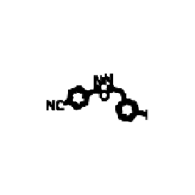 N#Cc1ccc(-c2nnc(Cc3cccc(I)c3)o2)cc1